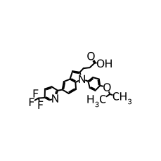 CC(C)Oc1ccc(-n2c(CCC(=O)O)cc3cc(-c4ccc(C(F)(F)F)cn4)ccc32)cc1